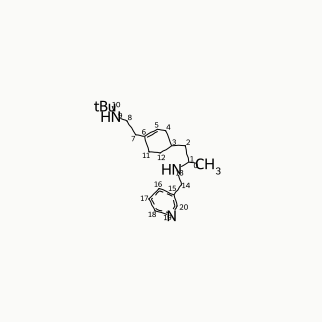 CC(CC1CC=C(CCNC(C)(C)C)CC1)NCc1cccnc1